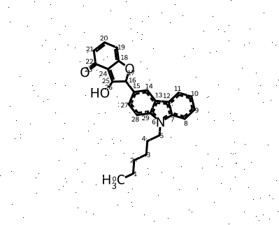 CCCCCCn1c2ccccc2c2cc(C3OC4=CC=CC(=O)C4=C3O)ccc21